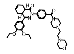 CCOc1ccc(C2=NN(c3ccc(C(=O)N4CCN(CCN5CCOCC5)CC4)cc3)C(=O)[C@@H]3CC=CC[C@H]23)cc1OCC